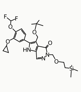 CC(C)(C)OCc1c(-c2ccc(OC(F)F)c(OC3CC3)c2)[nH]c2cnn(COCC[Si](C)(C)C)c(=O)c12